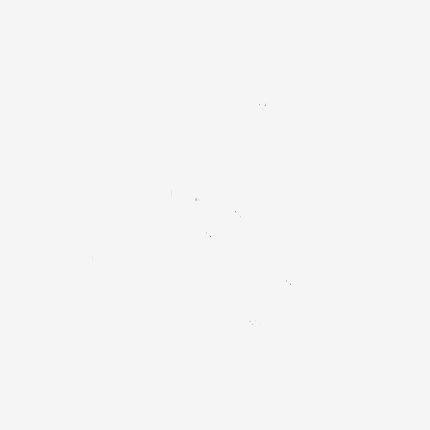 COC(=O)N1c2ccc3c(nc([C@H](C)c4ccc(OC)c(F)c4)n3C3CCC(C(=O)O)CC3)c2CCC1C